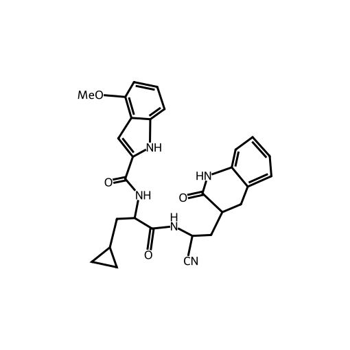 COc1cccc2[nH]c(C(=O)NC(CC3CC3)C(=O)NC(C#N)CC3Cc4ccccc4NC3=O)cc12